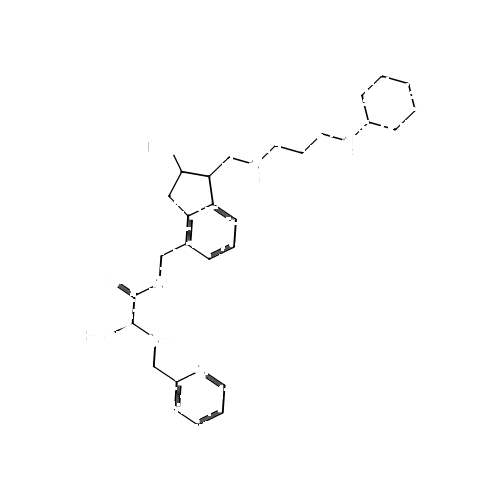 CC1Cc2c(CNC(=O)[C@H](C)NCc3ccccn3)cccc2C1CNCCCNC1CCCCC1